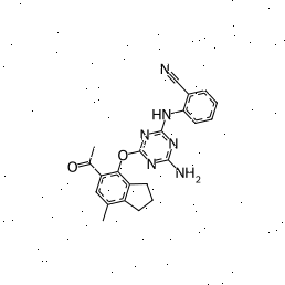 CC(=O)c1cc(C)c2c(c1Oc1nc(N)nc(Nc3ccccc3C#N)n1)CCC2